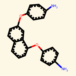 Nc1ccc(Oc2ccc3cccc(Oc4ccc(N)cc4)c3c2)cc1